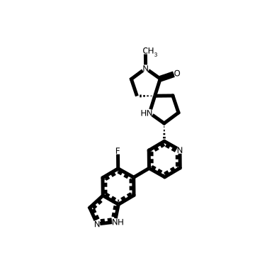 CN1CC[C@@]2(CC[C@H](c3cc(-c4cc5[nH]ncc5cc4F)ccn3)N2)C1=O